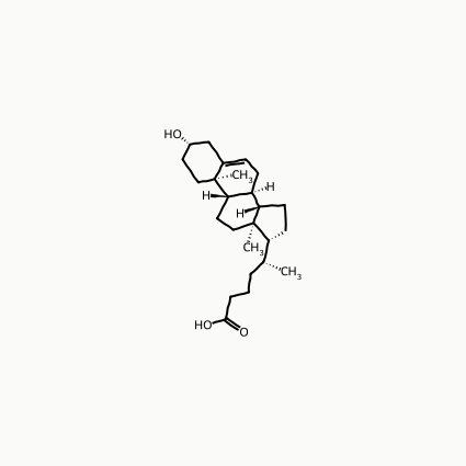 C[C@H](CCCC(=O)O)[C@H]1CC[C@H]2[C@@H]3CC=C4C[C@@H](O)CC[C@]4(C)[C@H]3CC[C@]12C